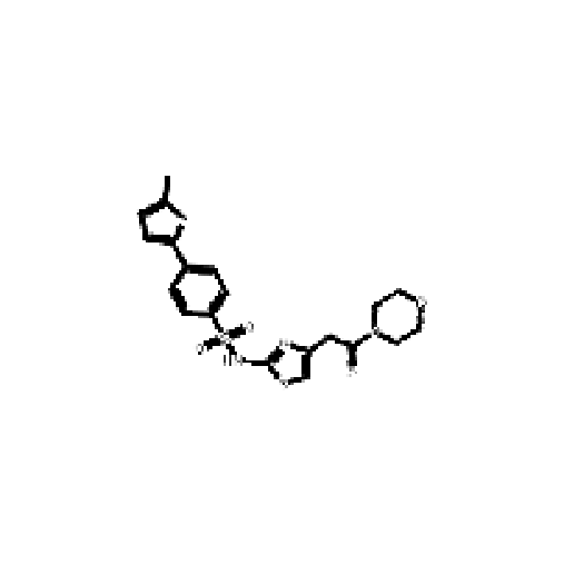 Cc1ccc(-c2ccc(S(=O)(=O)Nc3nc(CC(=O)N4CCOCC4)cs3)cc2)s1